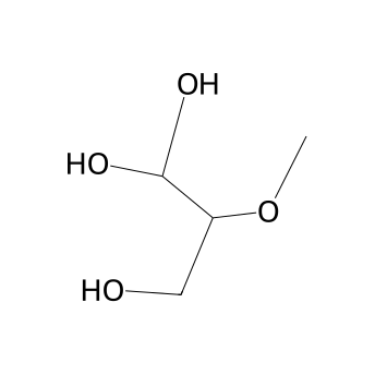 COC(CO)C(O)O